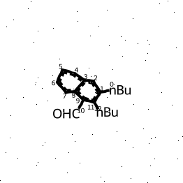 CCCCc1cc2ccccc2c(C=O)c1CCCC